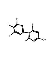 Oc1cc(F)c(-c2cc(F)c(O)c(F)c2)c(F)c1